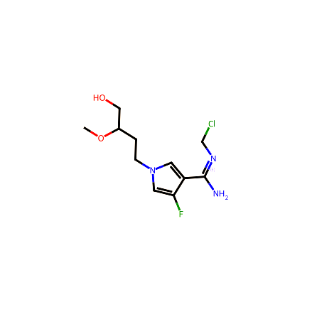 COC(CO)CCn1cc(F)c(/C(N)=N\CCl)c1